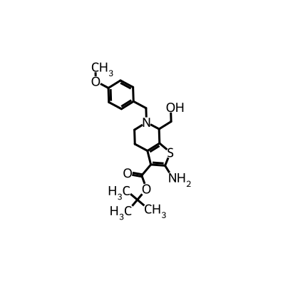 COc1ccc(CN2CCc3c(sc(N)c3C(=O)OC(C)(C)C)C2CO)cc1